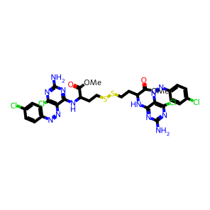 COC(=O)C(CCSSCCC(Nc1nc(N)nc(Cl)c1/N=N\c1ccc(Cl)cc1)C(=O)OC)Nc1nc(N)nc(Cl)c1/N=N\c1ccc(Cl)cc1